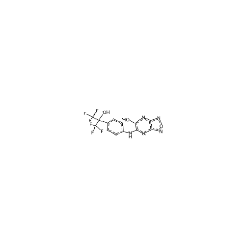 Oc1nc2nonc2nc1Nc1ccc(C(O)(C(F)(F)F)C(F)(F)F)cc1